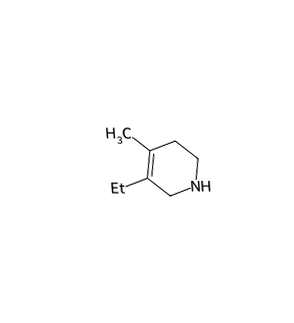 CCC1=C(C)CCNC1